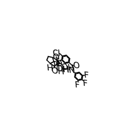 O=C(Nc1cc(F)c(F)c(F)c1)c1ccc(Cl)c(S(=O)(=O)[C@H]2C3CC[C@H]2[C@H](O)[C@](O)(CO)C3)c1